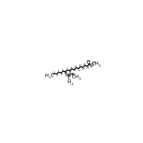 CCCCCCC(CC(CCCCCCCCC(=O)OC)SCC)SCC